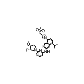 CO[C@@H]1CCN(c2nccc(Nc3cc4c(C(C)C)ccc(N5CC(CS(C)(=O)=O)C5)c4cn3)n2)C[C@@H]1F